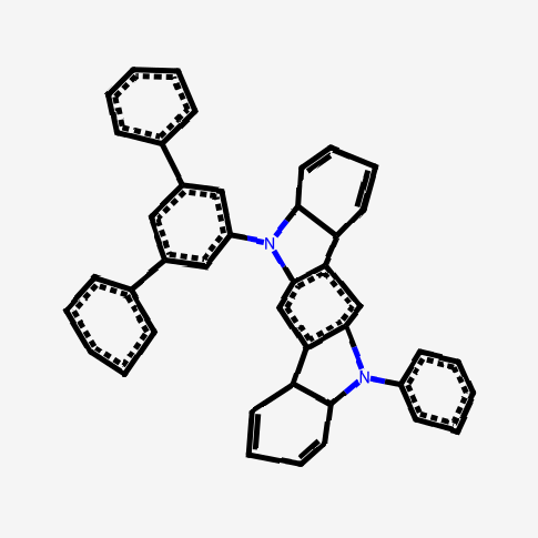 C1=CC2c3cc4c(cc3N(c3ccccc3)C2C=C1)C1C=CC=CC1N4c1cc(-c2ccccc2)cc(-c2ccccc2)c1